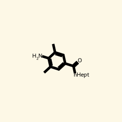 CCCCCCCC(=O)c1cc(C)c(N)c(C)c1